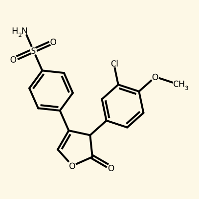 COc1ccc(C2C(=O)OC=C2c2ccc(S(N)(=O)=O)cc2)cc1Cl